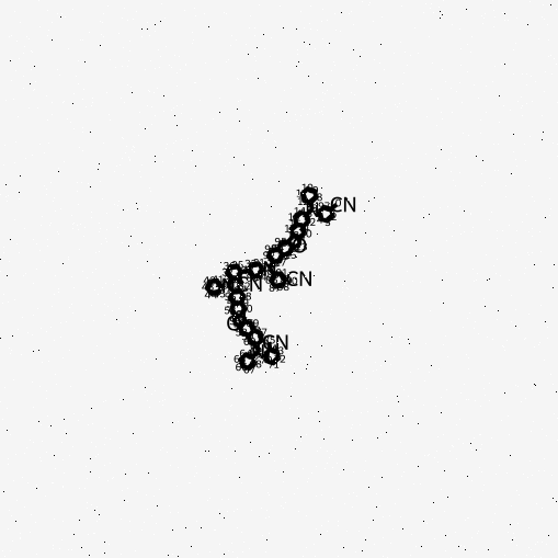 N#Cc1cccc(N(c2ccccc2)c2ccc3cc4c(cc3c2)oc2cc3cc(N(c5ccc(-c6cccc(N(c7ccccc7)c7ccc8cc9c(cc8c7)oc7cc8cc(N(c%10ccccc%10)c%10ccccc%10C#N)ccc8cc79)c6C#N)cc5)c5cccc(C#N)c5)ccc3cc24)c1